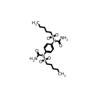 CCCCCS(=O)(=O)N(C(N)=O)c1ccc(N(C(N)=O)S(=O)(=O)CCCCC)cc1